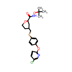 CC(C)(C)ONC(=O)C1CC(CSc2ccc(Oc3ccc(Cl)cn3)cc2)CCO1